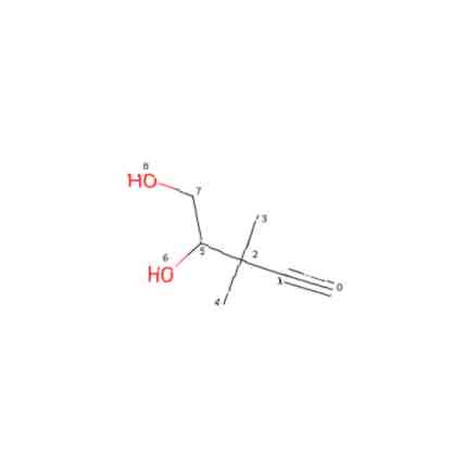 C#CC(C)(C)C(O)CO